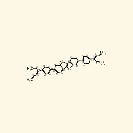 C=C/C=C(\C=C)c1ccc(-c2ccc3c(c2)sc2c4ccc(-c5ccc(/C(C=C)=C/C=C)cc5)cc4sc32)cc1